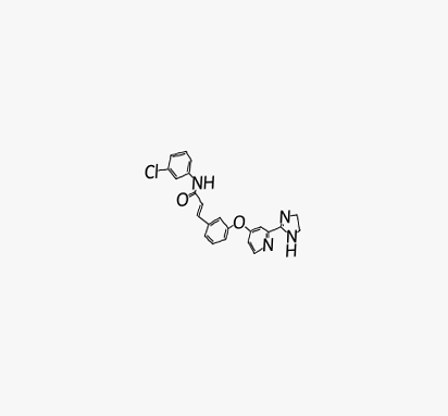 O=C(C=Cc1cccc(Oc2ccnc(C3=NCCN3)c2)c1)Nc1cccc(Cl)c1